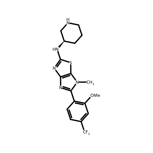 COc1cc(C(F)(F)F)ccc1-c1nc2nc(N[C@@H]3CCCNC3)sc2n1C